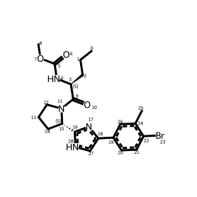 CCC[C@H](NC(=O)OC)C(=O)N1CCC[C@H]1c1nc(-c2ccc(Br)c(C)c2)c[nH]1